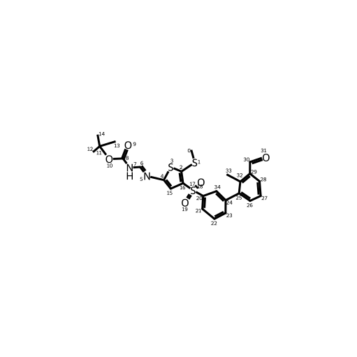 CSc1sc(/N=C/NC(=O)OC(C)(C)C)cc1S(=O)(=O)c1cccc(-c2cccc(C=O)c2C)c1